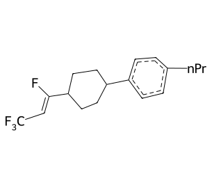 CCCc1ccc(C2CCC(/C(F)=C/C(F)(F)F)CC2)cc1